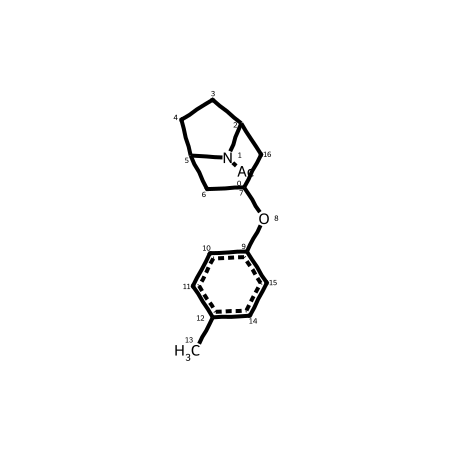 CC(=O)N1C2CCC1CC(Oc1ccc(C)cc1)C2